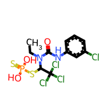 CCN(C(=O)Nc1cccc(Cl)c1)C(SP(O)(O)=S)C(Cl)(Cl)Cl